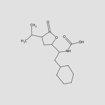 CC(C)C1CC(C(CC2CCCCC2)NC(=O)O)OC1=O